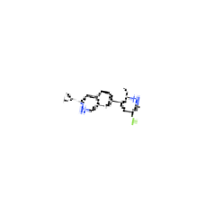 Cc1ncc(F)cc1-c1ccc2cc(C3CC3)ncc2c1